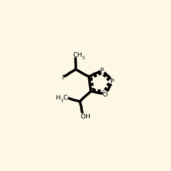 CC(O)c1oppc1C(C)I